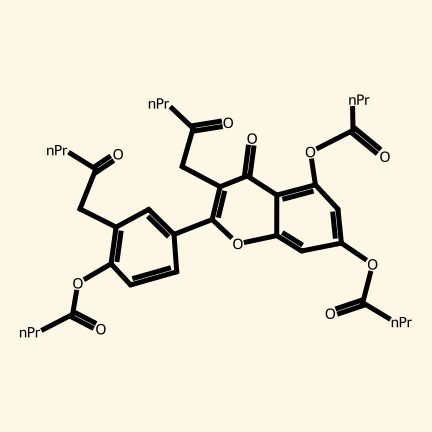 CCCC(=O)Cc1cc(-c2oc3cc(OC(=O)CCC)cc(OC(=O)CCC)c3c(=O)c2CC(=O)CCC)ccc1OC(=O)CCC